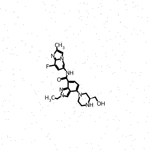 CCn1cc2c(N3CCN[C@H](CO)C3)ccc(C(=O)Nc3cc(F)c4nc(C)cn4c3)c2n1